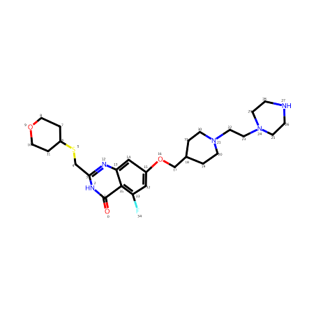 O=c1[nH]c(CSC2CCOCC2)nc2cc(OCC3CCN(CCN4CCNCC4)CC3)cc(F)c12